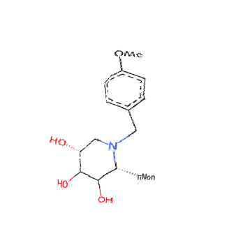 CCCCCCCCC[C@@H]1C(O)C(O)[C@H](O)CN1Cc1ccc(OC)cc1